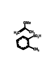 C=C(C)OC.Cc1ccccc1S(=O)(=O)O